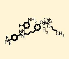 CCCCOC(=O)C(C)(C)Oc1ccc(CCCc2nc(-c3ccc(C(F)(F)F)cc3)nn2-c2ccc(N)cc2F)cc1